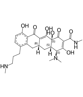 CNCCCc1ccc(O)c2c1C[C@H]1C[C@H]3[C@H](N(C)C)C(O)=C(C(=O)NC)C(=O)[C@@]3(O)C(O)=C1C2=O